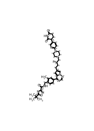 Cc1cc(-c2ncnn3cc(CC[C@@H](F)CN4CCN(c5ccc(C6CCC(=O)NC6=O)cn5)CC4)cc23)ccc1CNC(=O)c1noc(C(C)(C)C)n1